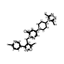 Cc1ccc(-c2noc(C)c2Cn2ncc(N3CCC(n4c(C)nnc4C)CC3)cc2=O)cn1